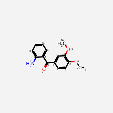 COc1ccc(C(=O)c2ccccc2N)cc1OC